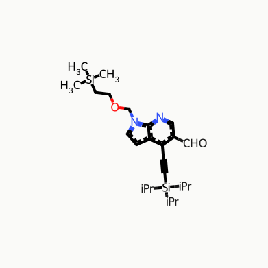 CC(C)[Si](C#Cc1c(C=O)cnc2c1ccn2COCC[Si](C)(C)C)(C(C)C)C(C)C